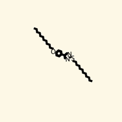 CCCCCCCCCCCCOc1ccc(-c2cnc(SCCCCCCCCCCCC)nc2)cc1